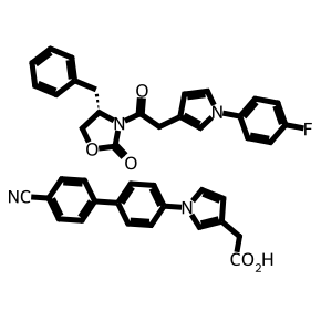 N#Cc1ccc(-c2ccc(-n3ccc(CC(=O)O)c3)cc2)cc1.O=C(Cc1ccn(-c2ccc(F)cc2)c1)N1C(=O)OC[C@@H]1Cc1ccccc1